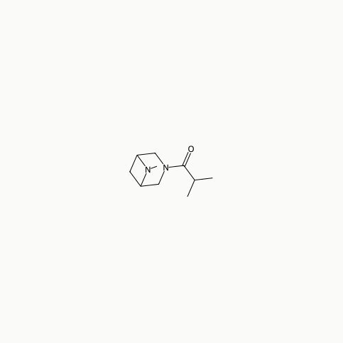 CC(C)C(=O)N1CC2CC(C1)N2C